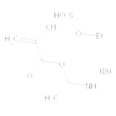 C=C(C)C(=O)OC(C)NC(C)(C)C.CCOS(=O)(=O)O